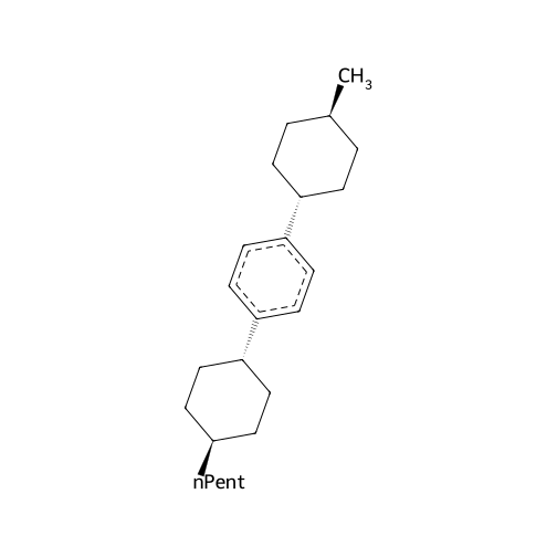 CCCCC[C@H]1CC[C@H](c2ccc([C@H]3CC[C@H](C)CC3)cc2)CC1